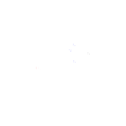 N#Cc1cnn2cc(-c3ccc(O)cc3)c(C3CCCCC3)nc12